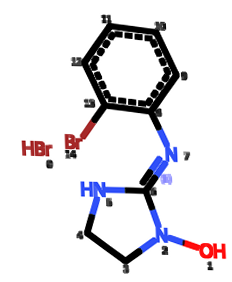 Br.ON1CCN/C1=N\c1ccccc1Br